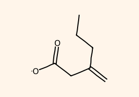 C=C(CCC)CC([O])=O